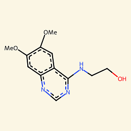 COc1cc2ncnc(NCCO)c2cc1OC